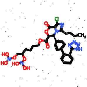 CCCCc1nc(Cl)c2n1[C@@H](c1ccc(-c3ccccc3-c3nnn[nH]3)cc1)C(C(=O)OCCCCC(CON(O)O)ON(O)O)OC2=O